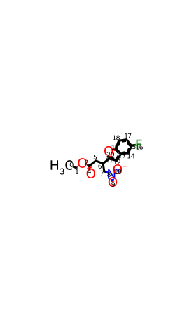 CCOC(=O)CC(C[N+](=O)[O-])c1cc2cc(F)ccc2o1